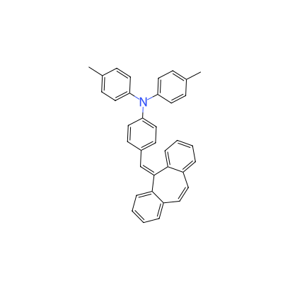 Cc1ccc(N(c2ccc(C)cc2)c2ccc(C=C3c4ccccc4C=Cc4ccccc43)cc2)cc1